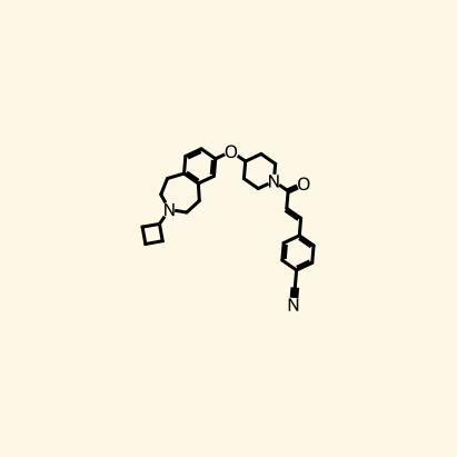 N#Cc1ccc(C=CC(=O)N2CCC(Oc3ccc4c(c3)CCN(C3CCC3)CC4)CC2)cc1